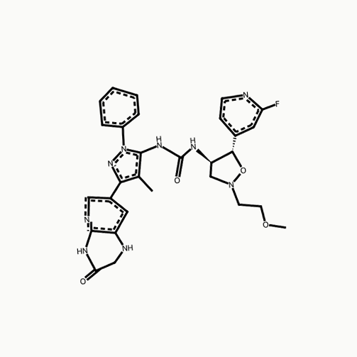 COCCN1C[C@@H](NC(=O)Nc2c(C)c(-c3cnc4c(c3)NCC(=O)N4)nn2-c2ccccc2)[C@H](c2ccnc(F)c2)O1